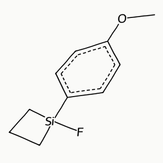 COc1ccc([Si]2(F)CCC2)cc1